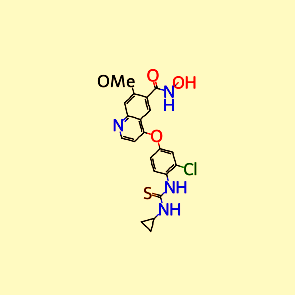 COc1cc2nccc(Oc3ccc(NC(=S)NC4CC4)c(Cl)c3)c2cc1C(=O)NO